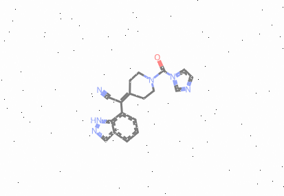 N#CC(=C1CCN(C(=O)n2ccnc2)CC1)c1cccc2cn[nH]c12